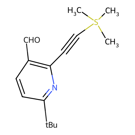 CC(C)(C)c1ccc(C=O)c(C#CS(C)(C)C)n1